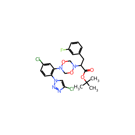 CC(C)(C)OC(=O)C(Cc1cccc(F)c1)N1CON(c2cc(Cl)ccc2-n2cc(Cl)nn2)CO1